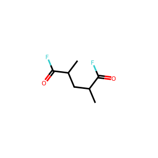 CC(CC(C)C(=O)F)C(=O)F